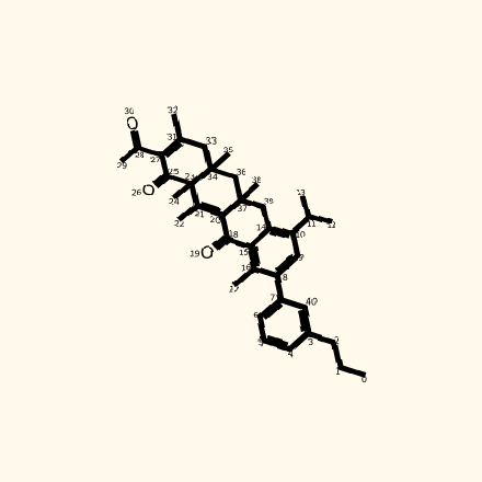 CCCc1cccc(-c2cc(C(C)C)c3c(c2C)C(=O)C2=C(C)C4(C)C(=O)C(C(C)=O)=C(C)CC4(C)CC2(C)C3)c1